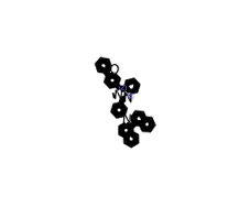 CN/C(=C1/C=CC=C/C1=N/Cc1cccc(-n2c3ccc4ccccc4c3c3c4ccccc4ccc32)c1)c1ccc2c(c1)oc1ccccc12